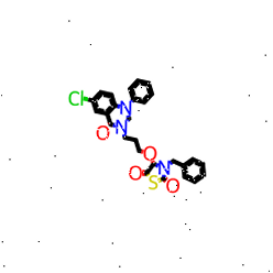 O=C1SC(=O)N(Cc2ccccc2)C1OCCCN1CN(c2ccccc2)c2ccc(Cl)cc2C1=O